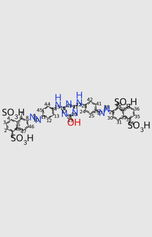 O=S(=O)(O)c1cccc2c(S(=O)(=O)O)c(/N=N/c3ccc(Nc4nc(O)nc(Nc5ccc(/N=N/c6ccc7c(S(=O)(=O)O)cccc7c6S(=O)(=O)O)cc5)n4)cc3)ccc12